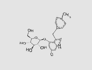 Cc1ccc(Cc2c[nH]c3cc(Cl)cc(O[C@@H]4O[C@H](CO)[C@@H](O)[C@H](O)[C@H]4O)c23)cc1